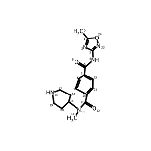 Cc1nc(NC(=O)c2ccc(C(=O)N(C)C3CCNCC3)cc2)no1